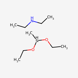 CCNCC.CCO[SiH](C)OCC